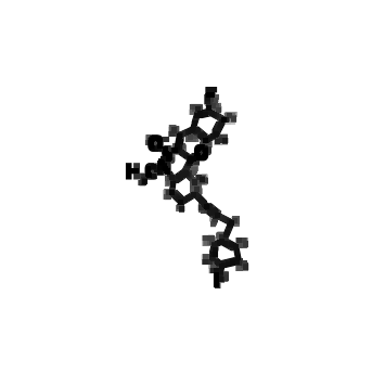 CN1c2ccc(C#CCc3ccc(F)cc3)cc2C(=O)/C(=C\c2cccc(F)c2)[S+]1[O-]